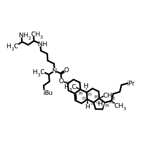 CCC(C)CCC(C)N(CCCCNC(C)CC(C)N)C(=O)O[C@H]1CC[C@@]2(C)C(=CC[C@H]3[C@@H]4CC[C@H]([C@H](C)CCCC(C)C)[C@@]4(C)CC[C@@H]32)C1